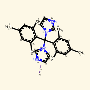 Cc1cc(C)c(C(c2c(C)cc(C)cc2C)([n+]2cc[nH]c2)[n+]2cc[nH]c2)c(C)c1.[I-].[I-]